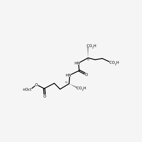 CCCCCCCCOC(=O)CC[C@H](NC(=O)N[C@@H](CCC(=O)O)C(=O)O)C(=O)O